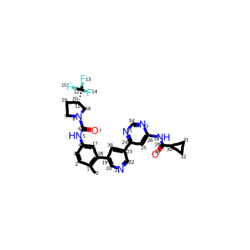 Cc1ccc(NC(=O)N2CC[C@H](C(F)(F)F)C2)cc1-c1cncc(-c2cc(NC(=O)C3CC3)ncn2)c1